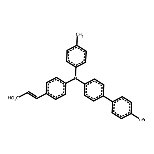 CCCc1ccc(-c2ccc(N(c3ccc(C)cc3)c3ccc(C=CC(=O)O)cc3)cc2)cc1